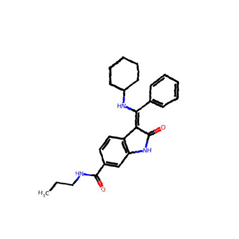 CCCNC(=O)c1ccc2c(c1)NC(=O)/C2=C(/NC1CCCCC1)c1ccccc1